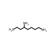 NCCCCC(N)CCN